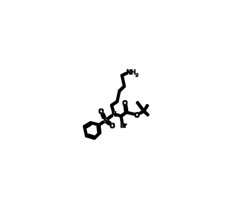 CC(C)(C)OC(=O)C(Br)N(CCCCCN)S(=O)(=O)c1ccccc1